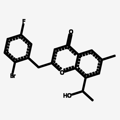 Cc1cc(C(C)O)c2oc(Cc3cc(F)ccc3Br)cc(=O)c2c1